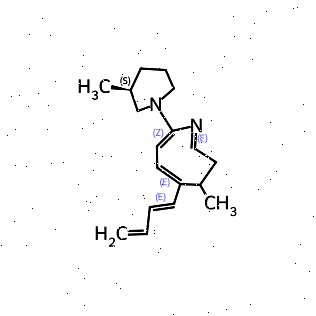 C=C/C=C/C1=C/C=C(N2CCC[C@H](C)C2)\N=C\CC1C